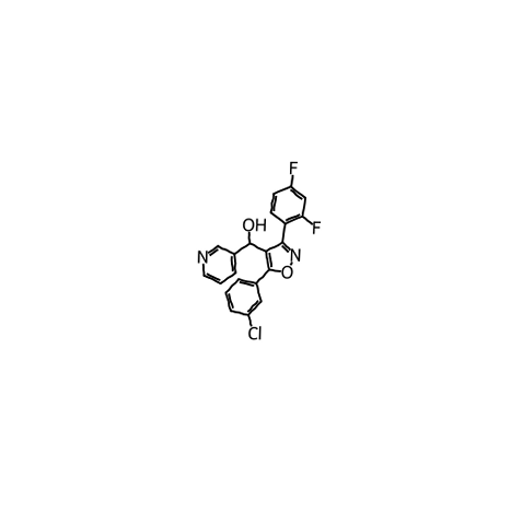 OC(c1cccnc1)c1c(-c2ccc(F)cc2F)noc1-c1cccc(Cl)c1